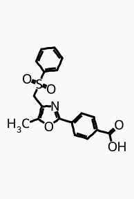 Cc1oc(-c2ccc(C(=O)O)cc2)nc1CS(=O)(=O)c1ccccc1